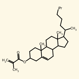 C=C(C)C(=O)OC1CCC2(C)C(=CCC3C2CCC2(C)C(C(C)CCCC(C)C)CCC32)C1